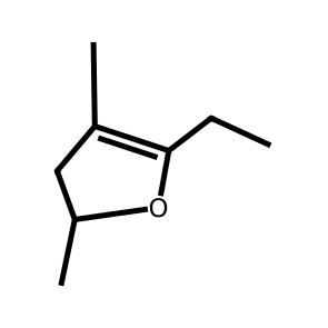 CCC1=C(C)CC(C)O1